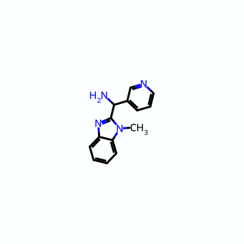 Cn1c(C(N)c2cccnc2)nc2ccccc21